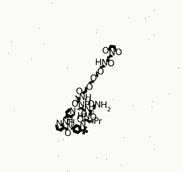 CC(C)CC(NC(=O)[C@@H](CC(N)=O)NC(=O)[C@@H](C)NC(=O)[C@@H](C)NC(=O)CCOCCOCCOCCNC(=O)CCN1C(=O)C=CC1=O)C(=O)N1CC(C)(C)c2ccc(NC(=O)c3cccnc3NCc3ccncc3)cc21